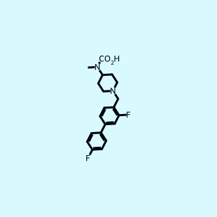 CN(C(=O)O)C1CCN(Cc2ccc(-c3ccc(F)cc3)cc2F)CC1